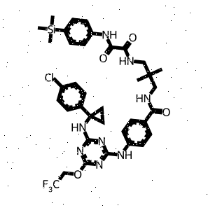 CC(C)(CNC(=O)C(=O)Nc1ccc([Si](C)(C)C)cc1)CNC(=O)c1ccc(Nc2nc(NC3(c4ccc(Cl)cc4)CC3)nc(OCC(F)(F)F)n2)cc1